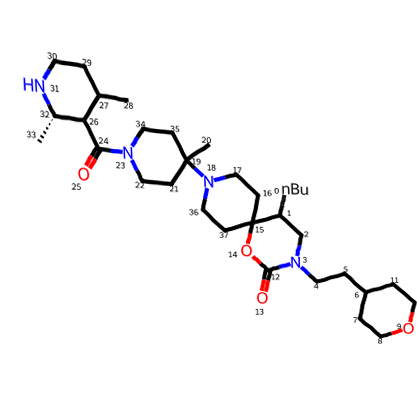 CCCCC1CN(CCC2CCOCC2)C(=O)OC12CCN(C1(C)CCN(C(=O)C3C(C)CCN[C@H]3C)CC1)CC2